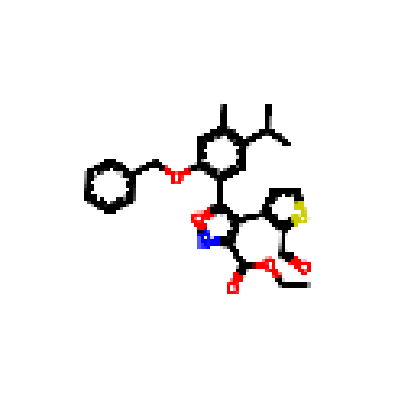 CCOC(=O)c1noc(-c2cc(C(C)C)c(C)cc2OCc2ccccc2)c1-c1ccsc1C=O